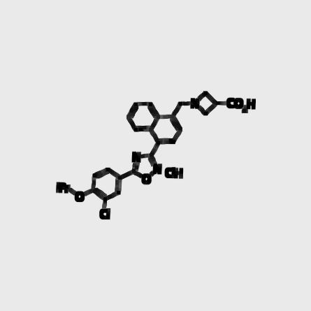 CC(C)Oc1ccc(-c2nc(-c3ccc(CN4CC(C(=O)O)C4)c4ccccc34)no2)cc1Cl.Cl